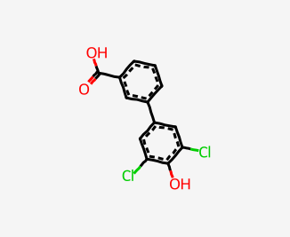 O=C(O)c1cccc(-c2cc(Cl)c(O)c(Cl)c2)c1